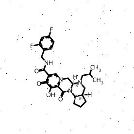 CC(C)CN1C[C@@H]2CCCC2N2C(=O)c3c(O)c(=O)c(C(=O)NCc4ccc(F)cc4F)cn3C[C@@H]12